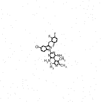 Cc1nn(C)c(C)c1-c1c(N)nc(-n2nc(Cc3c(F)ccc(F)c3F)c3cc(Cl)ccc32)nc1N